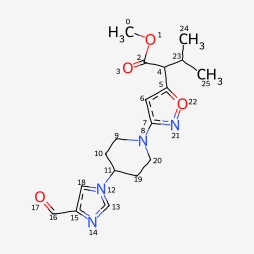 COC(=O)C(c1cc(N2CCC(n3cnc(C=O)c3)CC2)no1)C(C)C